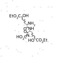 CCOC(=O)C(O)=CSCC(N)C(=O)NC(CSC=C(O)C(=O)OCC)C(=O)N(C)C(=O)O